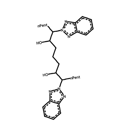 CCCCCC(C(O)CCCC(O)C(CCCCC)n1nc2ccccc2n1)n1nc2ccccc2n1